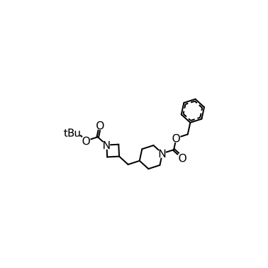 CC(C)(C)OC(=O)N1CC(CC2CCN(C(=O)OCc3ccccc3)CC2)C1